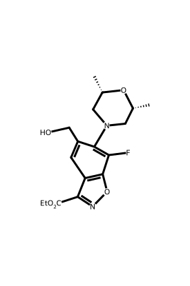 CCOC(=O)c1noc2c(F)c(N3C[C@@H](C)O[C@@H](C)C3)c(CO)cc12